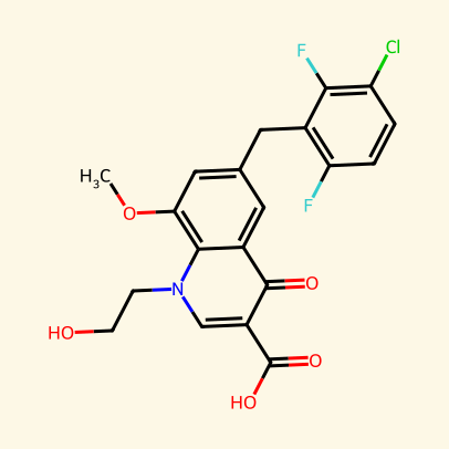 COc1cc(Cc2c(F)ccc(Cl)c2F)cc2c(=O)c(C(=O)O)cn(CCO)c12